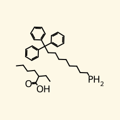 CCCCC(CC)C(=O)O.PCCCCCCCCC(c1ccccc1)(c1ccccc1)c1ccccc1